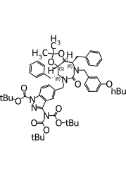 CCCCOc1cccc(CN2C(=O)N(Cc3ccc4c(c3)c(N(C(=O)OC(C)(C)C)C(=O)OC(C)(C)C)nn4C(=O)OC(C)(C)C)[C@H](Cc3ccccc3)[C@@H]3OC(C)(C)O[C@H]3[C@H]2Cc2ccccc2)c1